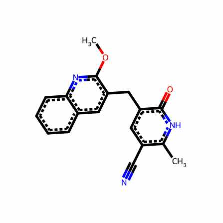 COc1nc2ccccc2cc1Cc1cc(C#N)c(C)[nH]c1=O